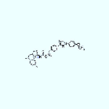 Cc1ccc2c(c1)N1C(=CC2C)CS/C1=N\C(=S)ON(C)Cc1ccc(-c2ncn(-c3ccc(OC(F)(F)F)cc3)n2)cc1